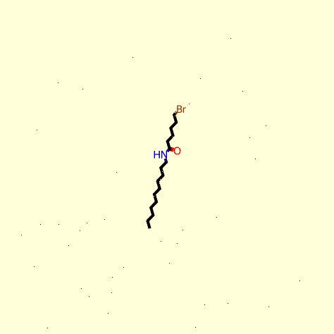 CCCCCCCCCCCNC(=O)CCCCCBr